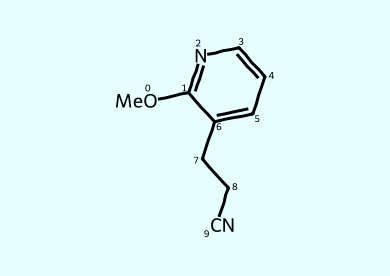 COc1ncccc1CCC#N